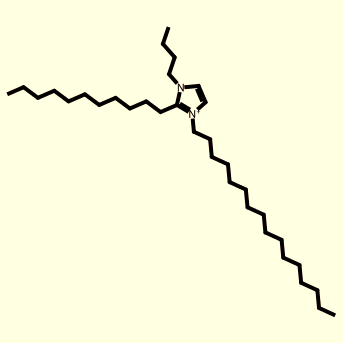 CCCCCCCCCCCCCCCC[n+]1ccn(CCCC)c1CCCCCCCCCCC